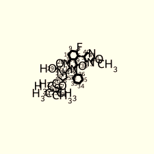 COc1ncc(-c2c(F)ccc3nc(C4CC(O[Si](C)(C)C(C)(C)C)CN4C(=O)O)n(-c4ccccc4)c(=O)c23)cn1